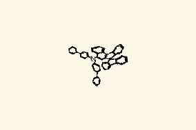 c1ccc(-c2ccc(N(c3ccc(-c4ccccc4)cc3)c3cc4c(c5ccccc35)-c3ccccc3C43c4ccccc4-c4ccccc43)cc2)cc1